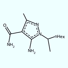 CCCCCCC(C)n1nc(C)c(C(N)=O)c1N